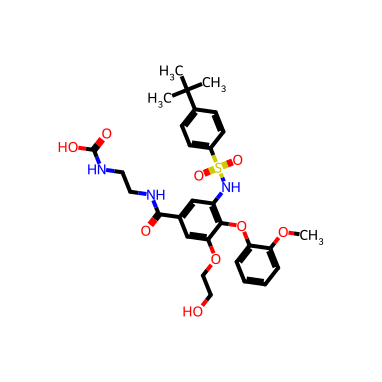 COc1ccccc1Oc1c(NS(=O)(=O)c2ccc(C(C)(C)C)cc2)cc(C(=O)NCCNC(=O)O)cc1OCCO